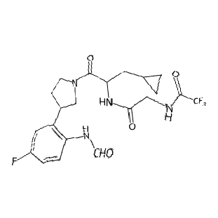 O=CNc1ccc(F)cc1C1CCN(C(=O)C(CC2CC2)NC(=O)CNC(=O)C(F)(F)F)C1